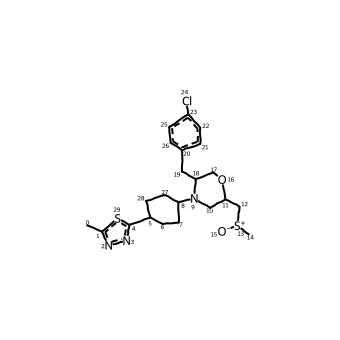 Cc1nnc(C2CCC(N3CC(C[S+](C)[O-])OCC3Cc3ccc(Cl)cc3)CC2)s1